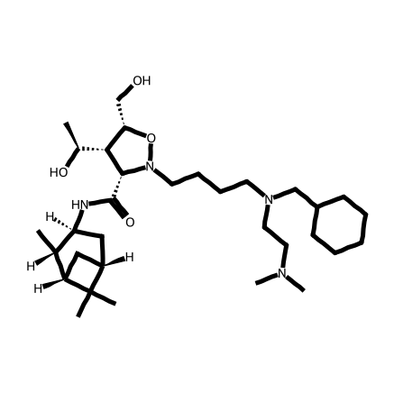 C[C@@H]1[C@@H](NC(=O)[C@@H]2[C@H]([C@H](C)O)[C@H](CO)ON2CCCCN(CCN(C)C)CC2CCCCC2)C[C@H]2C[C@@H]1C2(C)C